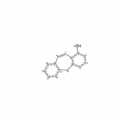 Oc1cccc2c1C=Cc1ccccc1C2